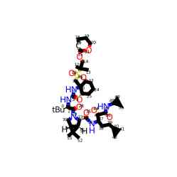 CC(C)(C)[C@H](NC(=O)NC1(CS(=O)(=O)C(C)(C)COC2CCCCO2)CCCCC1)C(=O)N1C[C@H]2[C@@H]([C@H]1C(=O)NC(CCC1CC1)C(=O)C(=O)NC1CC1)C2(C)C